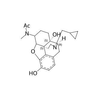 CC(=O)N(C)C1CC[C@@]2(O)[C@H]3Cc4ccc(O)c5c4[C@@]2(CCN3CC2CC2)C1O5